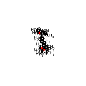 C/C=C(/C)C(=O)O[C@H]1[C@H](OC(=O)C(C)CC)[C@@]2(CO)C(CC1(C)C)C1=CCC3[C@@]4(C)CCC(OC5OC(C(=O)OC)C(O)C(OC6OCC(O)C(O)C6O)C5O)C(C)(C)C4CC[C@@]3(C)[C@]1(C)C[C@H]2OC(C)=O